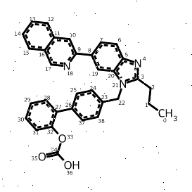 CCCc1nc2ccc(-c3cc4ccccc4cn3)cc2n1Cc1ccc(-c2ccccc2OC(=O)O)cc1